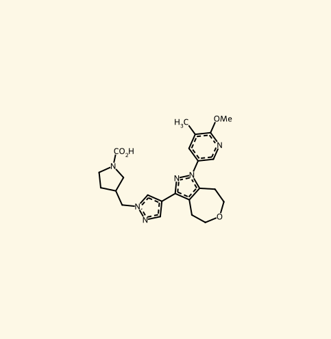 COc1ncc(-n2nc(-c3cnn(CC4CCN(C(=O)O)C4)c3)c3c2CCOCC3)cc1C